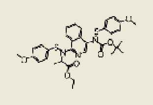 CCOC(=O)C(C)N(Sc1ccc(OC)cc1)c1ncc(N(Sc2ccc(OC)cc2)C(=O)OC(C)(C)C)c2ccccc12